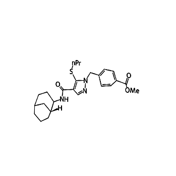 CCCSc1c(C(=O)NC2CCC3CCC[C@@H]2C3)cnn1Cc1ccc(C(=O)OC)cc1